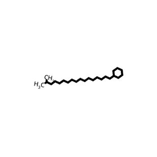 CC(C)CCCCCCCCCCCCCCCC1CCCCC1